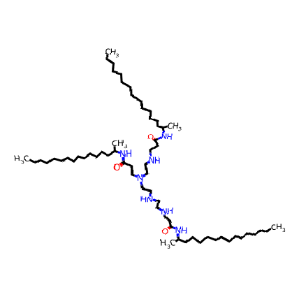 CCCCCCCCCCCCCCC(C)NC(=O)CCNCCNCCN(CCNCCC(=O)NC(C)CCCCCCCCCCCCCC)CCC(=O)NC(C)CCCCCCCCCCCCCC